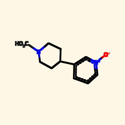 O=C(O)N1CCC(c2ccc[n+]([O-])c2)CC1